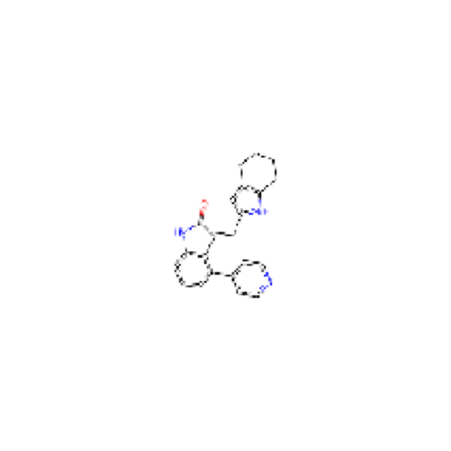 O=C1Nc2cccc(-c3ccncc3)c2/C1=C/c1cc2c([nH]1)CCCC2